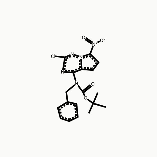 CC(C)(C)OC(=O)N(Cc1ccccc1)c1nc(Cl)nn2c([N+](=O)[O-])ccc12